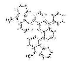 Cp1c2ccccc2c2c(-c3cccc4c(-c5ccccc5)c5cccc(-c6cccc7c6c6ccccc6p7C)c5cc34)cccc21